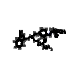 NC(=O)OCCN(CCc1c[nH]c2ccccc12)Cc1ccc(/C=C/C(=O)NO)cc1